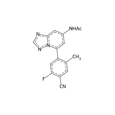 CC(=O)Nc1cc(-c2cc(F)c(C#N)cc2C)n2ncnc2c1